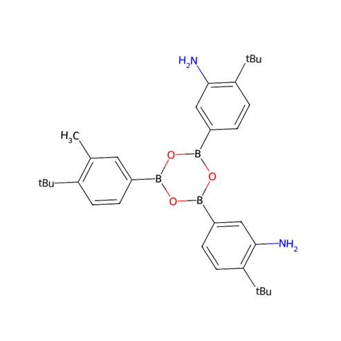 Cc1cc(B2OB(c3ccc(C(C)(C)C)c(N)c3)OB(c3ccc(C(C)(C)C)c(N)c3)O2)ccc1C(C)(C)C